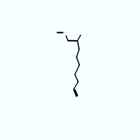 C=CCCCCCC(C)CNC